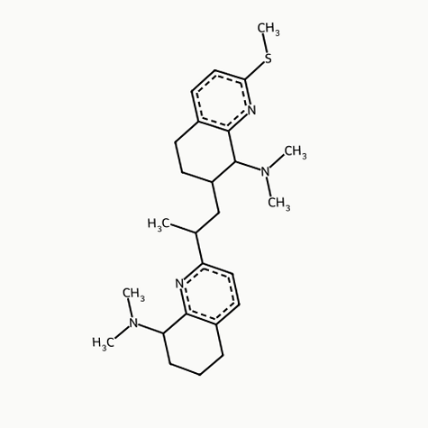 CSc1ccc2c(n1)C(N(C)C)C(CC(C)c1ccc3c(n1)C(N(C)C)CCC3)CC2